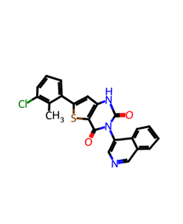 Cc1c(Cl)cccc1-c1cc2[nH]c(=O)n(-c3cncc4ccccc34)c(=O)c2s1